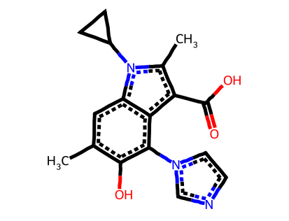 Cc1cc2c(c(C(=O)O)c(C)n2C2CC2)c(-n2ccnc2)c1O